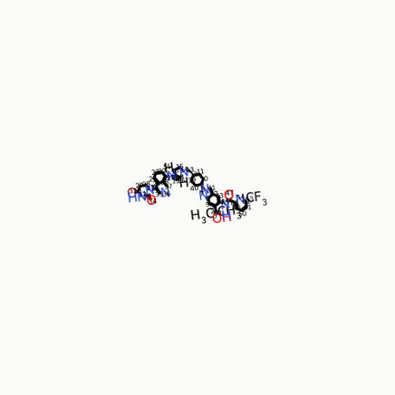 CC(C)(O)c1cc2nn([C@H]3CC[C@H](CN4C[C@@H]5C[C@H]4CN5c4cccc5c(N6CCC(=O)NC6=O)cncc45)CC3)cc2cc1NC(=O)c1cccc(C(F)(F)F)n1